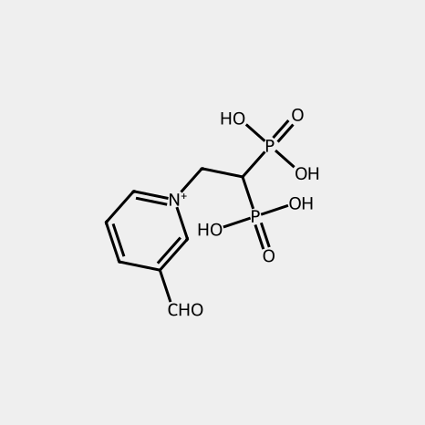 O=Cc1ccc[n+](CC(P(=O)(O)O)P(=O)(O)O)c1